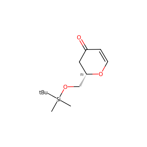 CC(C)(C)[Si](C)(C)OC[C@@H]1CC(=O)C=CO1